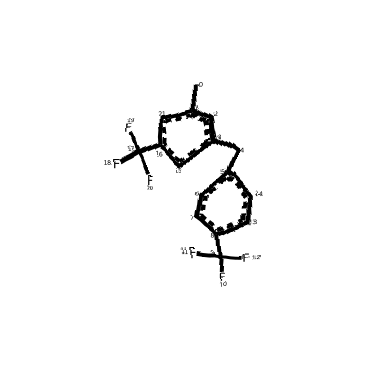 Cc1cc(Cc2ccc(C(F)(F)F)cc2)cc(C(F)(F)F)c1